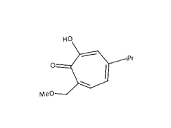 COCc1ccc(C(C)C)cc(O)c1=O